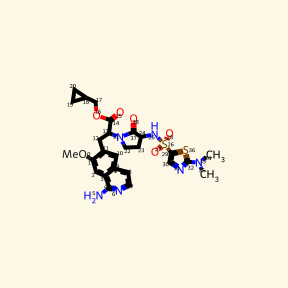 COc1cc2c(N)nccc2cc1CC(C(=O)OCC1CC1)N1CCC(NS(=O)(=O)c2cnc(N(C)C)s2)C1=O